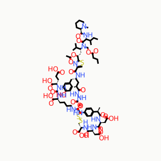 CCCC(=O)OCN(C(=O)[C@@H](NC(=O)[C@H]1CCCCN1C)C(C)CC)[C@H](C[C@@H](OC(C)=O)c1nc(C(=O)N[C@@H](Cc2ccc(O)cc2)C[C@H](C)C(=O)NNC(=O)OCCSSC[C@H](NC(=O)[C@H](CC(=O)O)NC(=O)[C@H](CC(=O)O)NC(=O)[C@H](C)c2ccc(NC(=O)NCCCC[C@H](NC(=O)N[C@@H](CCC(=O)O)C(=O)O)C(=O)O)cc2)C(=O)O)cs1)C(C)C